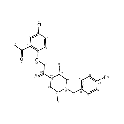 CC(=O)c1cc(Cl)ccc1OCC(=O)N1C[C@H](C)N(Cc2ccc(F)cc2)C[C@H]1C